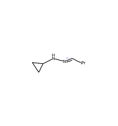 CC(C)/C=N/NC1CC1